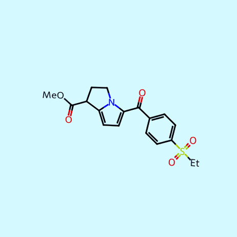 CCS(=O)(=O)c1ccc(C(=O)c2ccc3n2CCC3C(=O)OC)cc1